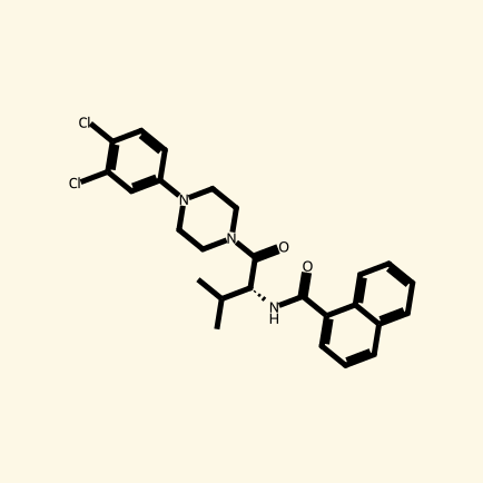 CC(C)[C@@H](NC(=O)c1cccc2ccccc12)C(=O)N1CCN(c2ccc(Cl)c(Cl)c2)CC1